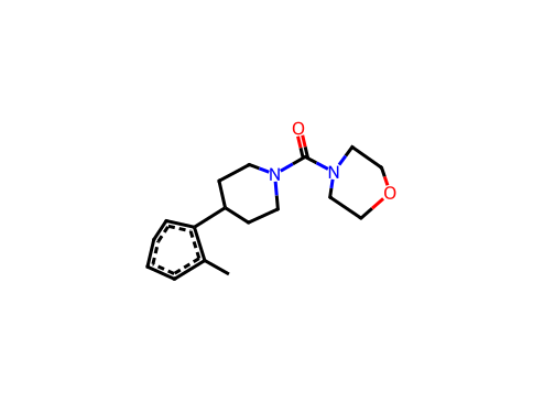 Cc1ccccc1C1CCN(C(=O)N2CCOCC2)CC1